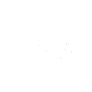 CCOC(=O)/C=C/C=C/c1cnc(N(C)C)s1